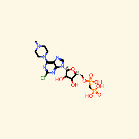 CN1CCN(c2nc(Cl)nc3c2ncn3[C@@H]2O[C@H](COP(=O)(O)CP(=O)(O)O)C(O)C2O)CC1